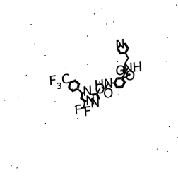 O=C(Nc1cccc(S(=O)(=O)NCCc2ccncc2)c1)Oc1cnn2c(C(F)F)cc(-c3ccc(C(F)(F)F)cc3)nc12